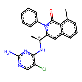 Cc1cccc2cc([C@H](C)Nc3nc(N)ncc3Cl)n(-c3ccccc3)c(=O)c12